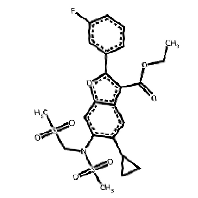 CCOC(=O)c1c(-c2cccc(F)c2)oc2cc(N(CS(C)(=O)=O)S(C)(=O)=O)c(C3CC3)cc12